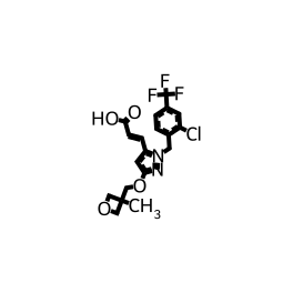 CC1(COc2cc(C=CC(=O)O)n(Cc3ccc(C(F)(F)F)cc3Cl)n2)COC1